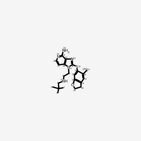 CC(C)(C)CNCCn1c(Sc2cc3c(cc2[131I])CCO3)nc2c(N)nccc21